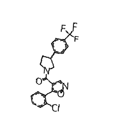 O=C(c1cnoc1-c1ccccc1Cl)N1CCC(c2ccc(C(F)(F)F)cc2)C1